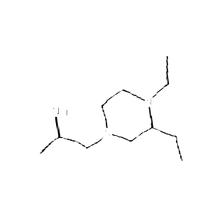 CCC1CN(CC(C)N)CCN1CC